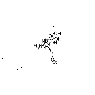 CCOCCCC#Cc1nc(N)c2ncn([C@@H]3O[C@H](CO)[C@@H](O)[C@H]3O)c2n1